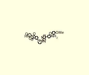 COc1ccc(Oc2cc(-c3ncnc4c3cnn4N3C=CC=CN(c4ccc5c(c4)C(=O)N(C4CCC(=O)NC4=O)C5=O)C3)ccc2N)cc1